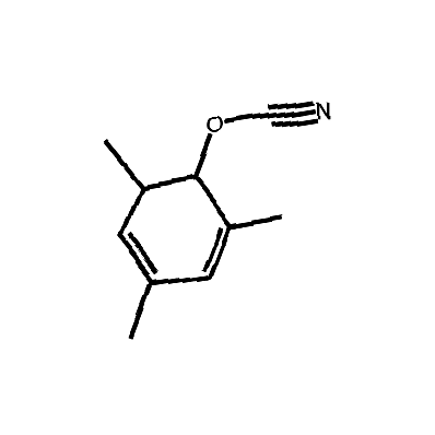 CC1=CC(C)C(OC#N)C(C)=C1